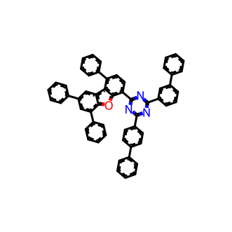 c1ccc(-c2ccc(-c3nc(-c4cccc(-c5ccccc5)c4)nc(-c4ccc(-c5ccccc5)c5c4oc4c(-c6ccccc6)cc(-c6ccccc6)cc45)n3)cc2)cc1